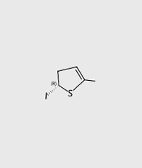 CC1=CC[C@@H](I)S1